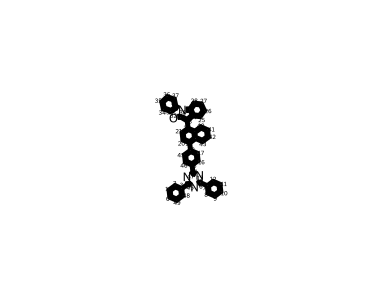 c1ccc(-c2nc(-c3ccccc3)nc(-c3ccc(-c4ccc(-c5c6ccccc6n6c5oc5ccccc56)c5ccccc45)cc3)n2)cc1